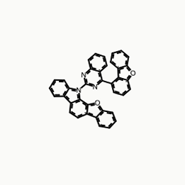 c1ccc2c(-c3cccc4oc5ccccc5c34)nc(-n3c4ccccc4c4ccc5c6ccccc6oc5c43)nc2c1